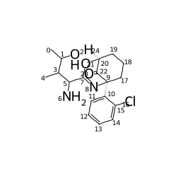 CC(O)C(C)C(N)C1=N[C@]2(c3ccccc3Cl)CCC[C@H](O1)C2=O